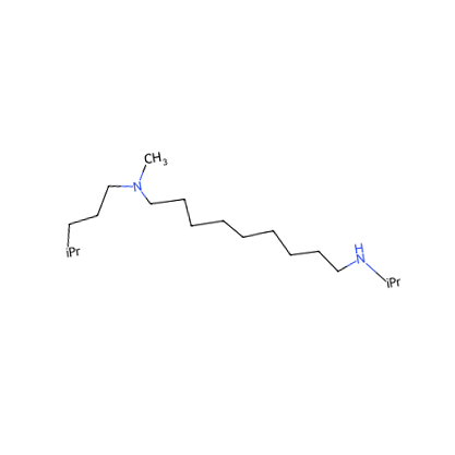 CC(C)CCCN(C)CCCCCCCCCNC(C)C